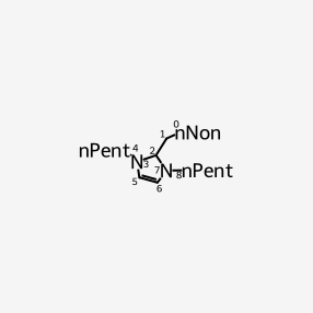 CCCCCCCCCCC1N(CCCCC)C=CN1CCCCC